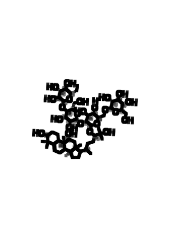 CC[C@@H]1O[C@@H](O[C@@H]2[C@@H](O)[C@H](O)[C@@H](O[C@H]3[C@H](O[C@H](CC[C@@H](C)C4CC[C@@]5(C)C6CC=C7C(CC[C@H](O)C7(C)C)[C@]6(C)[C@H](O)C[C@]45C)C(C)(C)O)O[C@H](CO[C@H]4O[C@H](CO)[C@@H](O)[C@H](O)[C@H]4O)[C@@H](O)[C@@H]3O)O[C@H]2CO)[C@@H](O)[C@H](O)[C@H]1O